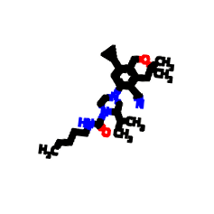 CCCCCNC(=O)N1CCN(c2cc(C3CC3)c3c(c2C#N)CC(C)(C)OC3)CC1C(C)C